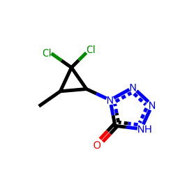 CC1C(n2nn[nH]c2=O)C1(Cl)Cl